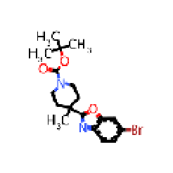 CC(C)(C)OC(=O)N1CCC(C)(c2nc3ccc(Br)cc3o2)CC1